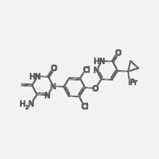 C=C1NC(=O)N(c2cc(Cl)c(Oc3cc(C4(C(C)C)CC4)c(=O)[nH]n3)c(Cl)c2)N=C1N